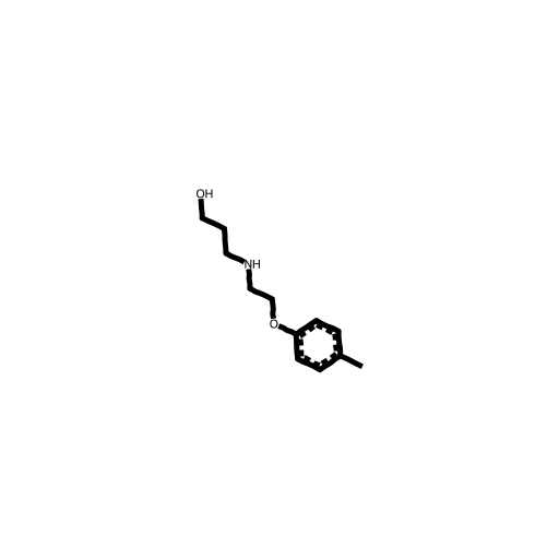 Cc1ccc(OCCNCCCO)cc1